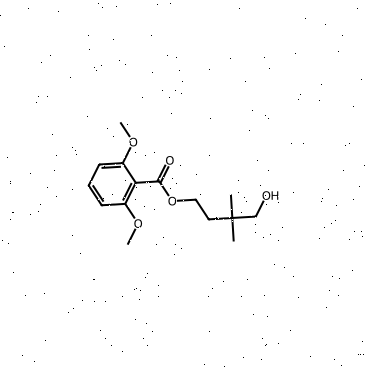 COc1cccc(OC)c1C(=O)OCCC(C)(C)CO